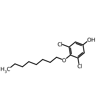 CCCCCCCCOc1c(Cl)cc(O)cc1Cl